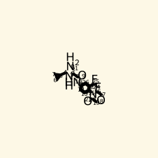 NC[C@@H](NCC1CC1)C(=O)Nc1ccc(N2CCOCC2=O)c(C(F)F)c1